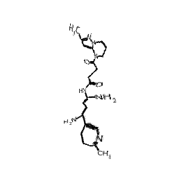 Cc1ccc(/C(N)=C/C=C(\N)NC(=O)CCC(=O)N2CCCn3nc(C)cc32)cn1